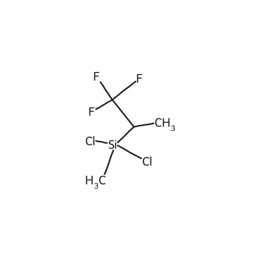 CC(C(F)(F)F)[Si](C)(Cl)Cl